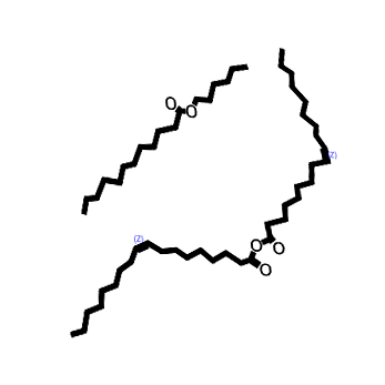 CCCCCCCC/C=C\CCCCCCCC(=O)OC(=O)CCCCCCC/C=C\CCCCCCCC.CCCCCCCCCCCC(=O)OCCCCCC